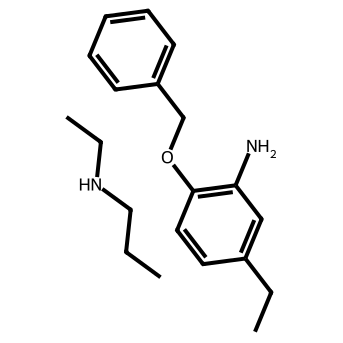 CCCNCC.CCc1ccc(OCc2ccccc2)c(N)c1